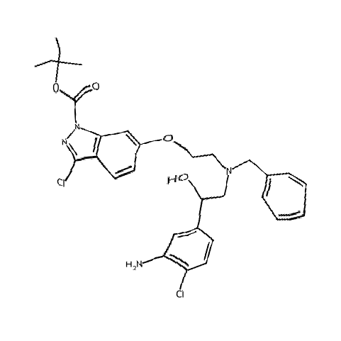 CC(C)(C)OC(=O)n1nc(Cl)c2ccc(OCCN(Cc3ccccc3)CC(O)c3ccc(Cl)c(N)c3)cc21